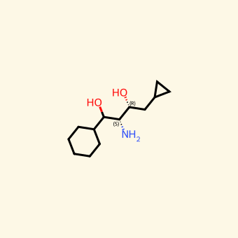 N[C@H](C(O)C1CCCCC1)[C@H](O)CC1CC1